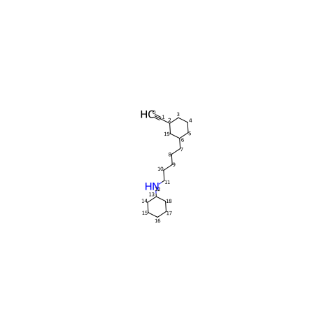 C#CC1CCCC(CCCCCNC2CCCCC2)C1